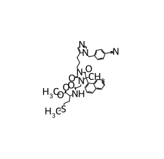 COC(=O)C(CCSC)NC(=O)CN1C(=O)N(CCCc2cncn2Cc2ccc(C#N)cc2)C(=O)C1(C)c1cccc2ccccc12